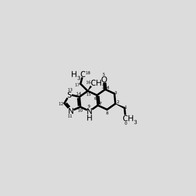 CC[C@@H]1CC(=O)C2=C(C1)Nc1ncsc1[C@]2(C)CC